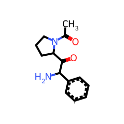 CC(=O)N1CCCC1C(=O)C(N)c1c[c]ccc1